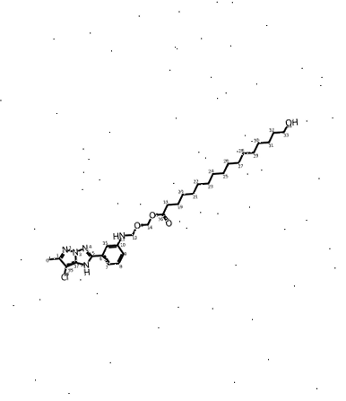 Cc1nn2nc(-c3cccc(NCOCOC(=O)CCCCCCCCCCCCCCCCO)c3)[nH]c2c1Cl